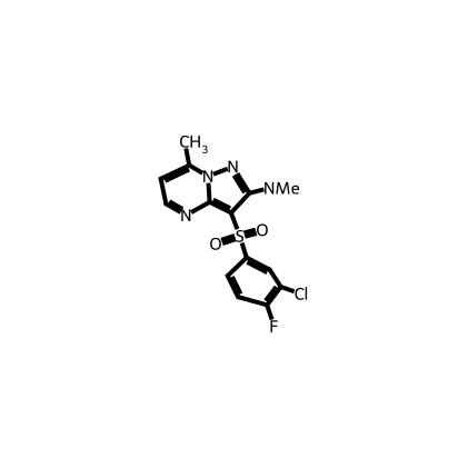 CNc1nn2c(C)ccnc2c1S(=O)(=O)c1ccc(F)c(Cl)c1